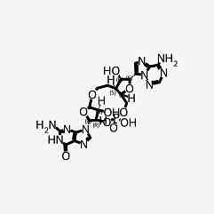 Nc1nc2c(ncn2[C@@H]2OC3OCC[C@H]4[C@@H](O)[C@H](c5cnc6c(N)ncnn56)O[C@@H]4COP(=O)(O)O[C@@H]2[C@@H]3O)c(=O)[nH]1